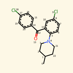 CC1CCN(c2ccc(Cl)cc2C(=O)c2ccc(Cl)cc2)CC1